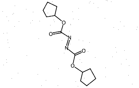 O=C(/N=N/C(=O)OC1CCCC1)OC1CCCC1